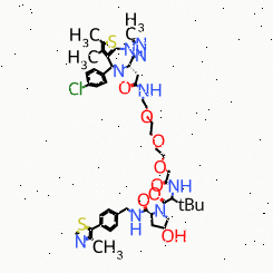 Cc1ncsc1-c1ccc(CNC(=O)[C@@H]2C[C@H](O)CN2C(=O)C(NC(=O)COCCOCCOCCNC(=O)C[C@@H]2N=C(c3ccc(Cl)cc3)c3c(sc(C)c3C)-n3c(C)nnc32)C(C)(C)C)cc1